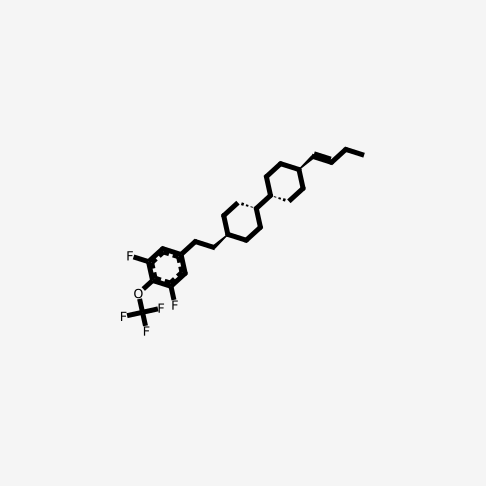 CC/C=C/[C@H]1CC[C@H]([C@H]2CC[C@H](CCc3cc(F)c(OC(F)(F)F)c(F)c3)CC2)CC1